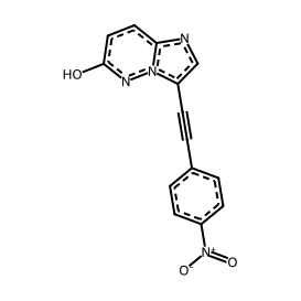 O=[N+]([O-])c1ccc(C#Cc2cnc3ccc(O)nn23)cc1